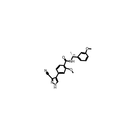 COc1cccc([C@@H](C)NC(=O)c2ccc(-c3c[nH]nc3C#N)cc2OC)c1